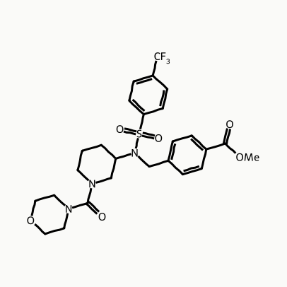 COC(=O)c1ccc(CN(C2CCCN(C(=O)N3CCOCC3)C2)S(=O)(=O)c2ccc(C(F)(F)F)cc2)cc1